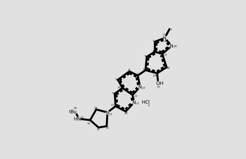 Cl.Cn1cc2cc(-c3ccc4cc(N5CCC(NC(C)(C)C)C5)cnc4n3)c(O)cc2n1